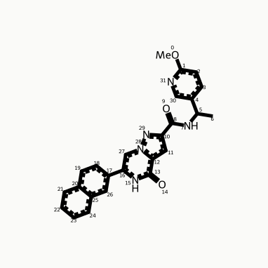 COc1ccc(C(C)NC(=O)c2cc3c(=O)[nH]c(-c4ccc5ccccc5c4)cn3n2)cn1